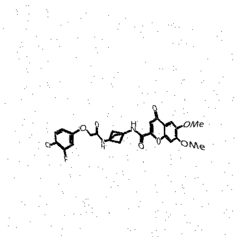 COc1cc2oc(C(=O)NC34CC(NC(=O)COc5ccc(Cl)c(F)c5)(C3)C4)cc(=O)c2cc1OC